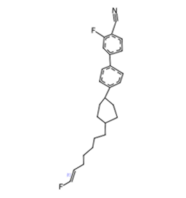 N#Cc1ccc(-c2ccc(C3CCC(CCCCC/C=C/F)CC3)cc2)cc1F